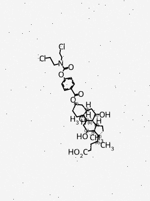 C[C@H](CCC(=O)O)[C@H]1CC[C@H]2[C@@H]3[C@H](O)C[C@@H]4C[C@H](OC(=O)c5ccc(OC(=O)N(CCCl)CCCl)cc5)CC[C@]4(C)[C@H]3C[C@H](O)[C@]12C